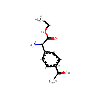 CCOC(=O)C(N)c1ccc(C(C)=O)cc1